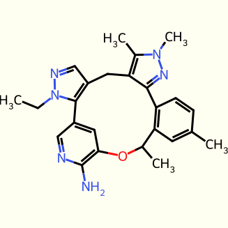 CCn1ncc2c1-c1cnc(N)c(c1)OC(C)c1cc(C)ccc1-c1nn(C)c(C)c1C2